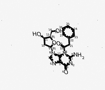 Nc1nc(=O)c2ncn([C@H]3CC(O)[C@@H](CO)O3)c2n1C(=O)Cc1ccccc1